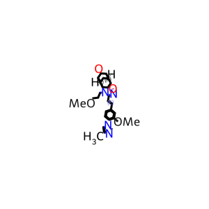 COCCCN1C(/C=C/c2ccc(-n3cnc(C)c3)c(OC)c2)=NOC12C[C@@H]1CC(=O)C[C@@H](C1)C2